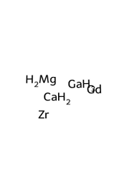 [CaH2].[GaH3].[Gd].[MgH2].[Zr]